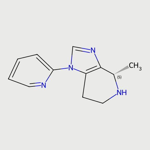 C[C@@H]1NCCc2c1ncn2-c1ccccn1